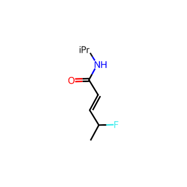 CC(F)/C=C/C(=O)NC(C)C